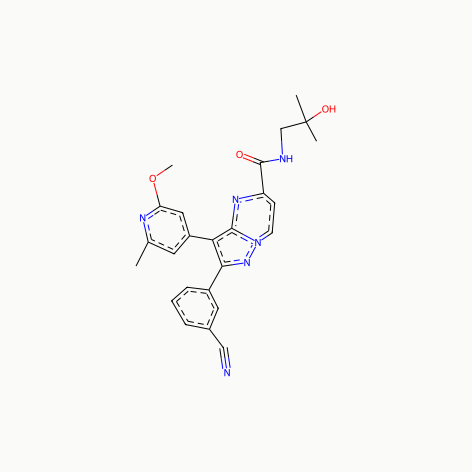 COc1cc(-c2c(-c3cccc(C#N)c3)nn3ccc(C(=O)NCC(C)(C)O)nc23)cc(C)n1